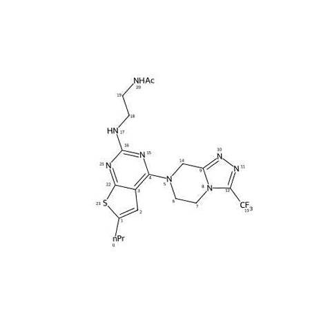 CCCc1cc2c(N3CCn4c(nnc4C(F)(F)F)C3)nc(NCCNC(C)=O)nc2s1